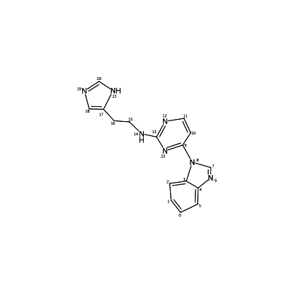 c1ccc2c(c1)ncn2-c1ccnc(NCCc2cnc[nH]2)n1